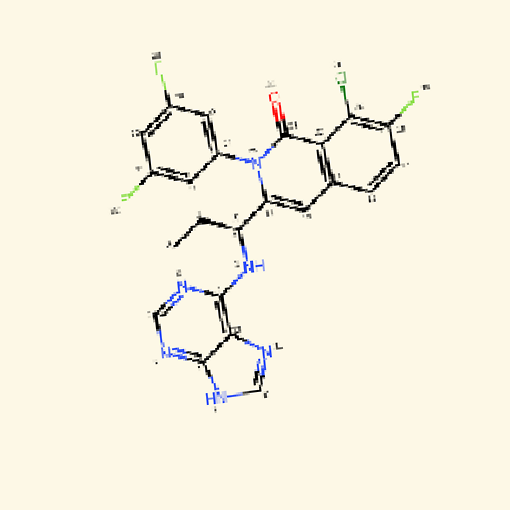 CC[C@H](Nc1ncnc2[nH]cnc12)c1cc2ccc(F)c(Cl)c2c(=O)n1-c1cc(F)cc(F)c1